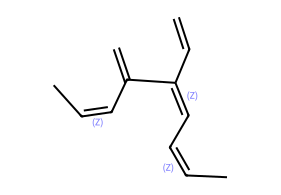 C=C/C(=C/C=C\C)C(=C)/C=C\C